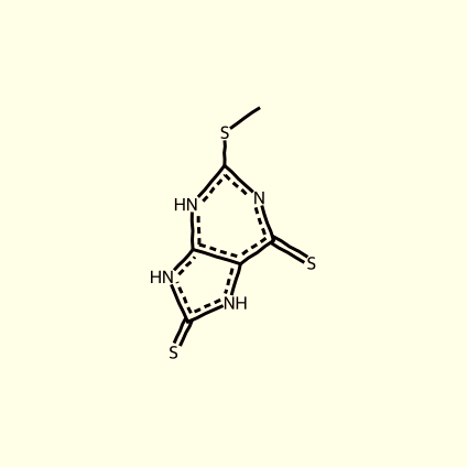 CSc1nc(=S)c2[nH]c(=S)[nH]c2[nH]1